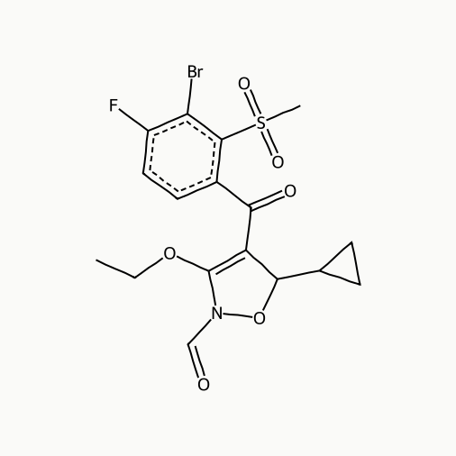 CCOC1=C(C(=O)c2ccc(F)c(Br)c2S(C)(=O)=O)C(C2CC2)ON1C=O